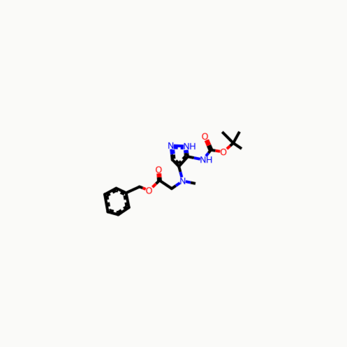 CN(CC(=O)OCc1ccccc1)c1cn[nH]c1NC(=O)OC(C)(C)C